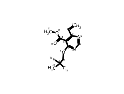 C=Cc1ncnc(OCC(C)(F)F)c1C(=O)OC